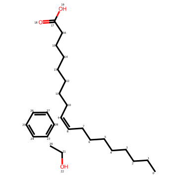 CCCCCCCC/C=C\CCCCCCCC(=O)O.CCO.c1ccccc1